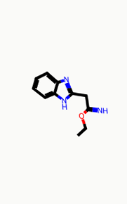 CCOC(=N)Cc1nc2ccccc2[nH]1